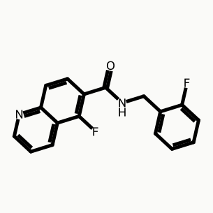 O=C(NCc1ccccc1F)c1ccc2ncccc2c1F